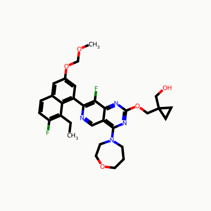 CCc1c(F)ccc2cc(OCOC)cc(-c3ncc4c(N5CCCOCC5)nc(OCC5(CO)CC5)nc4c3F)c12